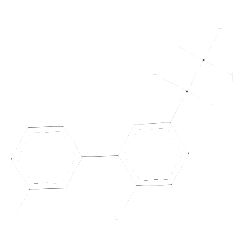 FC(F)(F)C(F)(F)c1c[c]c(Br)c(-c2cccc(I)c2)c1